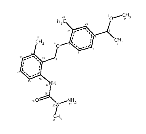 COC(C)c1ccc(OCc2c(C)cccc2NC(=O)N(C)N)c(C)c1